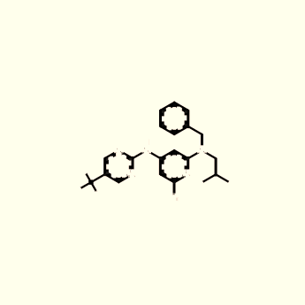 CC(C)CN(Cc1ccccc1)c1cc(Nc2ncc(C(F)(F)F)cn2)cc(Br)n1